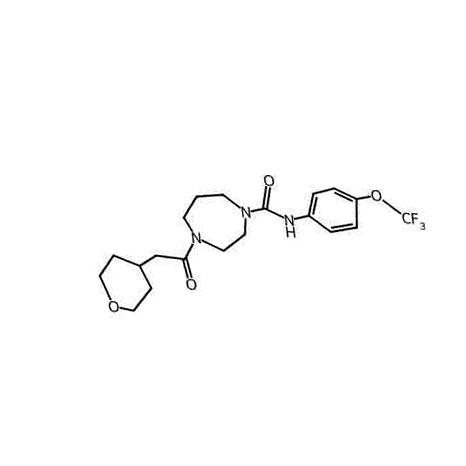 O=C(CC1CCOCC1)N1CCCN(C(=O)Nc2ccc(OC(F)(F)F)cc2)CC1